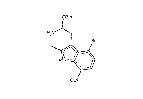 Cc1[nH]c2c([N+](=O)[O-])ccc(Br)c2c1CC(N)C(=O)O